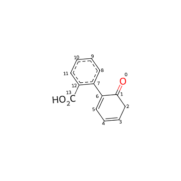 O=C1CC=CC=C1c1ccccc1C(=O)O